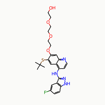 CC(C)(C)Sc1cc2c(Nc3n[nH]c4ccc(F)cc34)ccnc2cc1OCCOCCOCCO